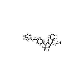 CC(C)(O)[C@H](NC(=O)[C@@H](CC#N)c1ccccc1)c1ccc(OCC23CCC(CC2)CC3)cc1